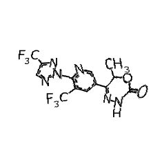 CC1OC(=O)NN=C1c1cnc(-n2ncc(C(F)(F)F)n2)c(C(F)(F)F)c1